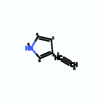 C#C.c1cc[nH]c1